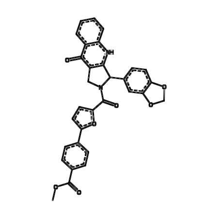 COC(=O)c1ccc(-c2ccc(C(=O)N3Cc4c([nH]c5ccccc5c4=O)C3c3ccc4c(c3)OCO4)o2)cc1